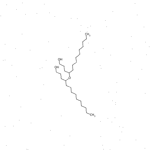 CCCCCCCCCCC(CCCO)OC(CCCO)CCCCCCCCCC